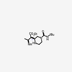 CCOC(=O)/C(C(C)=N)=C1\CN(C(=O)NC(C)(C)C)CCN1